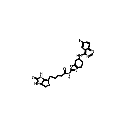 O=C(CCCCC1SCC2NC(=O)NC21)Nc1nc2c(s1)CC(Nc1ncnc3ccc(F)cc13)CC2